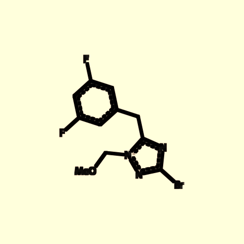 COCn1nc(Br)nc1Cc1cc(F)cc(F)c1